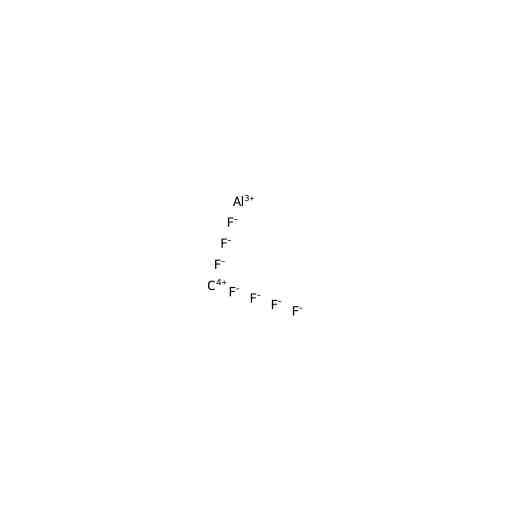 [Al+3].[C+4].[F-].[F-].[F-].[F-].[F-].[F-].[F-]